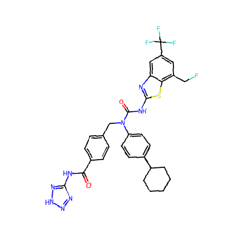 O=C(Nc1nn[nH]n1)c1ccc(CN(C(=O)Nc2nc3cc(C(F)(F)F)cc(CF)c3s2)c2ccc(C3CCCCC3)cc2)cc1